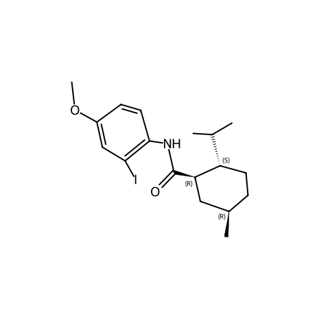 COc1ccc(NC(=O)[C@@H]2C[C@H](C)CC[C@H]2C(C)C)c(I)c1